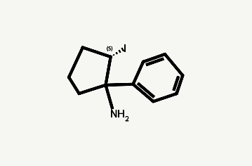 NC1(c2ccccc2)CCC[C@@H]1I